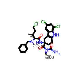 CC[C@H](C)CN(C(N)=O)C(=O)[C@@]1(NC(=O)C([C@@H](C)CCCl)N(Cc2ccccc2)C(=O)O)CCc2[nH]c3c(Cl)cc(Cl)cc3c2C1